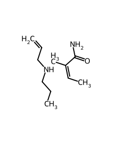 C=CCNCCC.CC=C(C)C(N)=O